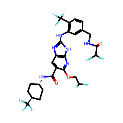 O=C(N[C@H]1CC[C@H](C(F)(F)F)CC1)c1cc2nc(Nc3cc(CNC(=O)C(F)F)ccc3C(F)(F)F)[nH]c2nc1OCC(F)F